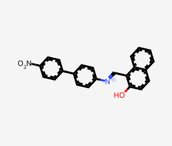 O=[N+]([O-])c1ccc(-c2ccc(/N=C/c3c(O)ccc4ccccc34)cc2)cc1